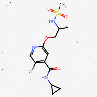 CC(COc1cc(C(=O)NC2CC2)c(Cl)cn1)NS(=O)(=O)C(F)(F)F